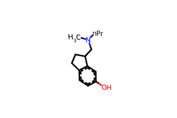 CCCN(C)CC1CCc2ccc(O)cc21